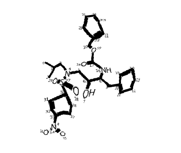 CC(C)CN(CC(O)C(Cc1ccccc1)NC(=O)OCc1ccccc1)S(=O)(=O)c1ccc([N+](=O)[O-])cc1